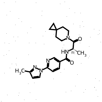 Cc1ccn(-c2ccc(C(=O)N[C@@H](C)C(=O)N3CCC4(CC3)CC4)cn2)n1